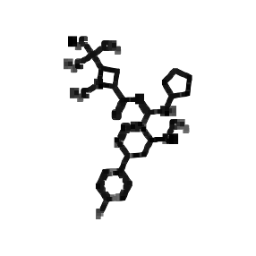 CNC(CC(N=O)c1ccc(F)cc1)N/C(=N\C(=O)C1CC(C(C)(C)C)N1C)NC1CCCC1